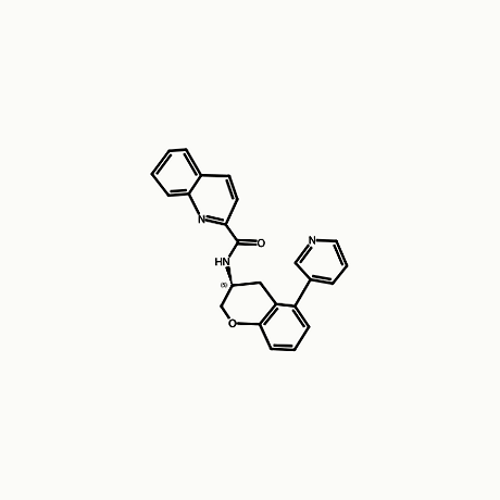 O=C(N[C@@H]1COc2cccc(-c3cccnc3)c2C1)c1ccc2ccccc2n1